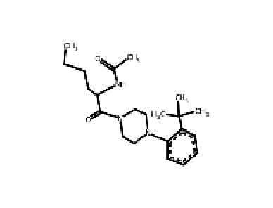 CCCCC(NC(C)=O)C(=O)N1CCN(c2ccccc2C(C)(C)C)CC1